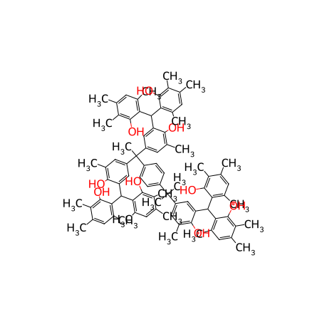 Cc1cc(C)c(C(c2cc(C(C)(C)c3ccc(C(C)(c4cc(C)c(O)c(C(c5c(C)cc(C)c(C)c5O)c5c(C)cc(C)c(C)c5O)c4)c4cc(C)c(O)c(C(c5c(C)cc(C)c(C)c5O)c5c(C)cc(C)c(C)c5O)c4)cc3)cc(C)c2O)c2c(C)cc(C)c(C)c2O)c(O)c1C